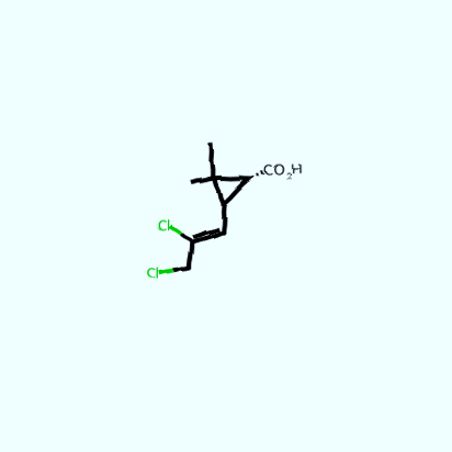 CC1(C)C(/C=C(\Cl)CCl)[C@H]1C(=O)O